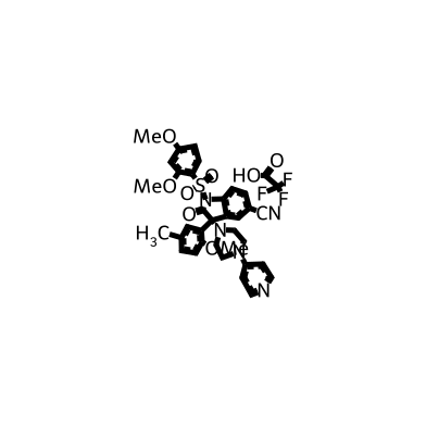 COc1ccc(S(=O)(=O)N2C(=O)C(c3cc(C)ccc3OC)(N3CCN(c4ccncc4)CC3)c3cc(C#N)ccc32)c(OC)c1.O=C(O)C(F)(F)F